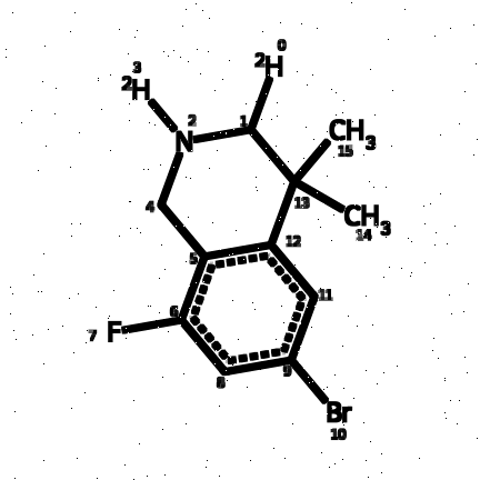 [2H]C1N([2H])Cc2c(F)cc(Br)cc2C1(C)C